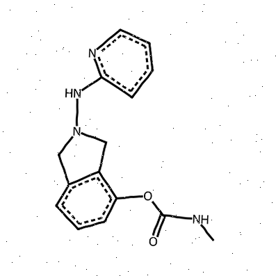 CNC(=O)Oc1cccc2c1CN(Nc1ccccn1)C2